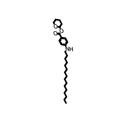 CCCCCCCCCCCCCCCCNc1ccc(C(=O)OC2CCCCO2)cc1